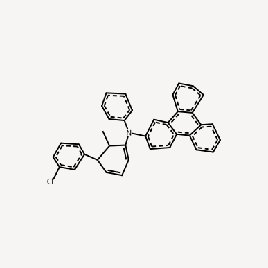 CC1C(N(c2ccccc2)c2ccc3c4ccccc4c4ccccc4c3c2)=CC=CC1c1cccc(Cl)c1